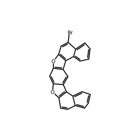 Brc1cc2oc3cc4oc5ccc6ccccc6c5c4cc3c2c2ccccc12